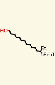 CCCCCC(CC)CCCCCCCCCCCCO